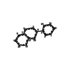 [c]1ccc(-c2ccc3c[c]ccc3c2)cc1